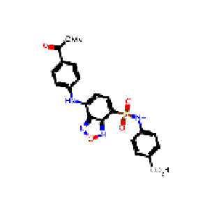 COC(=O)c1ccc(Nc2ccc(S(=O)(=O)Nc3ccc(C(=O)O)cc3)c3nonc23)cc1